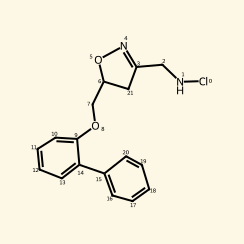 ClNCC1=NOC(COc2ccccc2-c2ccccc2)C1